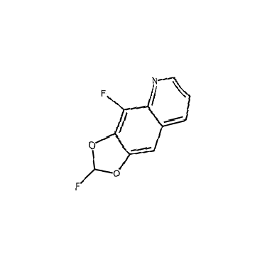 Fc1c2c(cc3cccnc13)OC(F)O2